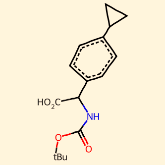 CC(C)(C)OC(=O)NC(C(=O)O)c1ccc(C2CC2)cc1